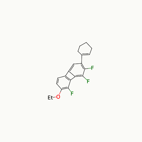 CCOc1ccc2c(c1F)-c1c-2cc(C2=CCCCC2)c(F)c1F